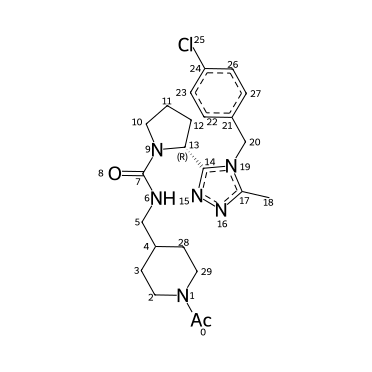 CC(=O)N1CCC(CNC(=O)N2CCC[C@@H]2c2nnc(C)n2Cc2ccc(Cl)cc2)CC1